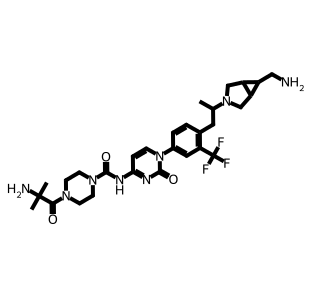 CC(Cc1ccc(-n2ccc(NC(=O)N3CCN(C(=O)C(C)(C)N)CC3)nc2=O)cc1C(F)(F)F)N1CC2C(CN)C2C1